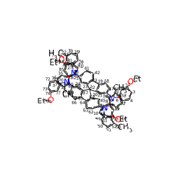 CCOc1cccc(N(c2cccc(OCC)c2)c2ccc3c(c2)C2(c4cc(N(c5cccc(C)c5)c5cccc(C)c5)ccc4-3)c3cc(N(c4cccc(C)c4)c4cccc(C)c4)ccc3-c3ccc(N(c4cccc(OCC)c4)c4cccc(OCC)c4)cc32)c1